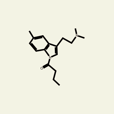 CCCC(=O)n1cc(CCN(C)C)c2cc(C)ccc21